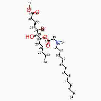 CCCCCCCCCCCCCN(C)CC(=O)OC(CCCCC)C(O)C(Br)/C=C/CC(=O)OC